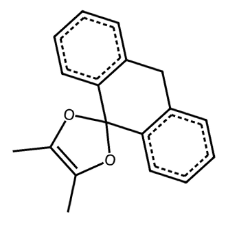 CC1=C(C)OC2(O1)c1ccccc1Cc1ccccc12